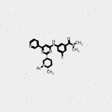 CC(=O)N1C[C@H](c2nc(Nc3cc(F)cc(C(=O)N(C)C)c3)cc(-c3cccnc3)n2)CC[C@@H]1C